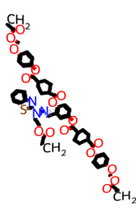 C=CC(=O)OCCN(/N=C/c1cc(OC(=O)C2CCC(C(=O)Oc3ccc(OCOC(=O)C=C)cc3)CC2)ccc1OC(=O)C1CCC(C(=O)Oc2ccc(OCOC(=O)C=C)cc2)CC1)c1nc2ccccc2s1